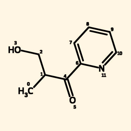 CC(CO)C(=O)c1ccccn1